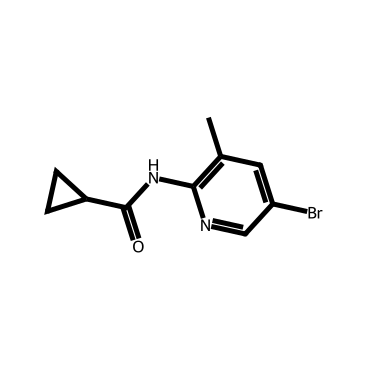 Cc1cc(Br)cnc1NC(=O)C1CC1